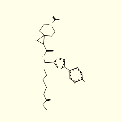 CCC(=O)CCCCC[C@H](NC(=O)C1CC12CCN(C(=O)O)CC2)c1ncc(-c2ccc(Cl)cc2)o1